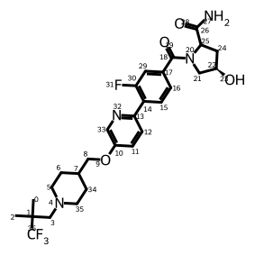 CC(C)(CN1CCC(COc2ccc(-c3ccc(C(=O)N4C[C@H](O)CC4C(N)=O)cc3F)nc2)CC1)C(F)(F)F